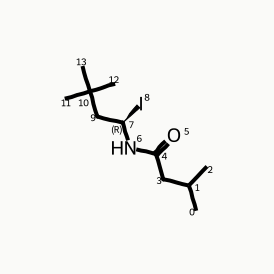 CC(C)CC(=O)N[C@H](I)CC(C)(C)C